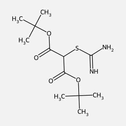 CC(C)(C)OC(=O)C(SC(=N)N)C(=O)OC(C)(C)C